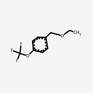 [CH2]COCc1ccc(OC(F)(F)F)cc1